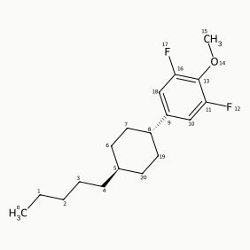 CCCCC[C@H]1CC[C@H](c2cc(F)c(OC)c(F)c2)CC1